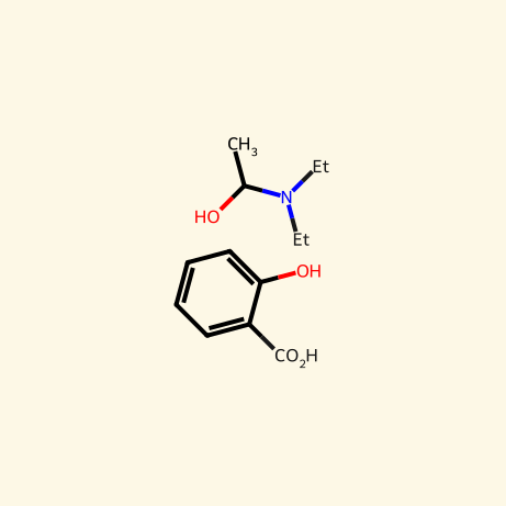 CCN(CC)C(C)O.O=C(O)c1ccccc1O